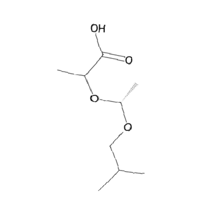 CC(C)CO[C@@H](C)OC(C)C(=O)O